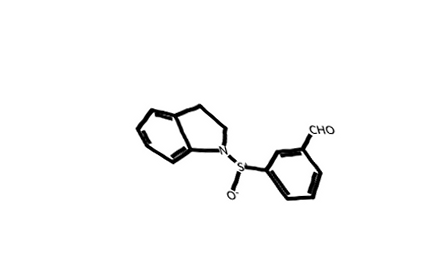 O=Cc1cccc([S+]([O-])N2CCc3ccccc32)c1